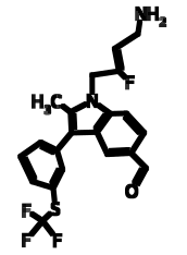 Cc1c(-c2cccc(SC(F)(F)F)c2)c2cc(C=O)ccc2n1C/C(F)=C/CN